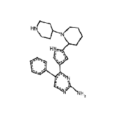 Nc1ncc(-c2ccccc2)c(-c2c[nH]c(C3CCCCN3C3CCNCC3)c2)n1